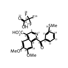 COc1cc2c(C(=O)O)cnc(C(=O)c3cccc(SC)c3)c2cc1OC.O=C(O)C(F)(F)F